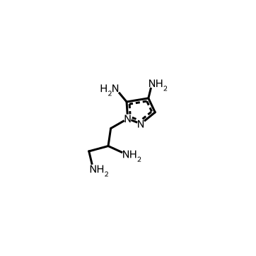 NCC(N)Cn1ncc(N)c1N